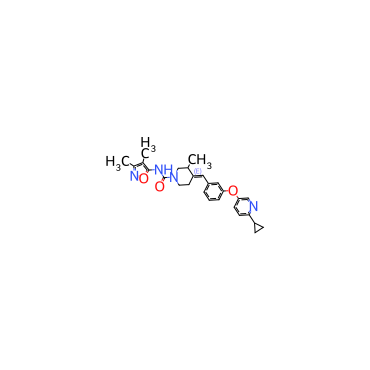 Cc1noc(NC(=O)N2CC/C(=C\c3cccc(Oc4ccc(C5CC5)nc4)c3)C(C)C2)c1C